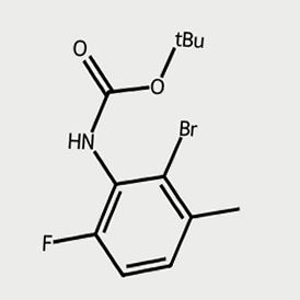 Cc1ccc(F)c(NC(=O)OC(C)(C)C)c1Br